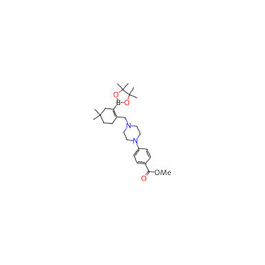 COC(=O)c1ccc(N2CCN(CC3=C(B4OC(C)(C)C(C)(C)O4)CC(C)(C)CC3)CC2)cc1